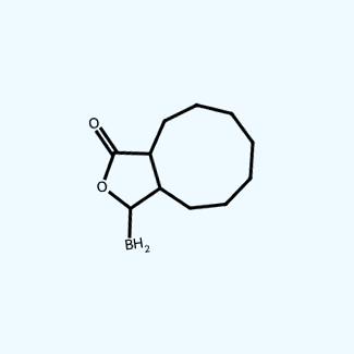 BC1OC(=O)C2CCCCCCCC12